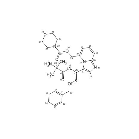 CC(C)(N)C(=O)N[C@H](COCc1ccccc1)c1nnc2cccc(COC(=O)N3CCOCC3)n12